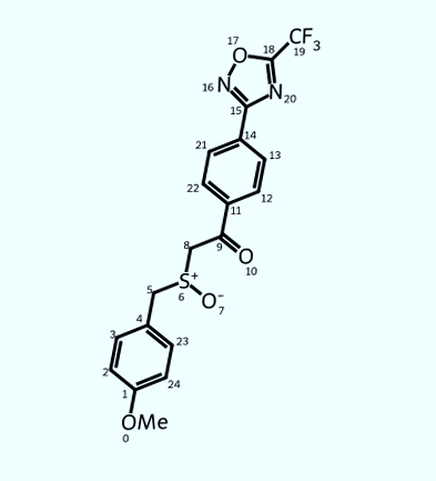 COc1ccc(C[S+]([O-])CC(=O)c2ccc(-c3noc(C(F)(F)F)n3)cc2)cc1